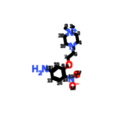 C[N+]1(C)CCN(CCOc2cc(N)ccc2[N+](=O)[O-])CC1